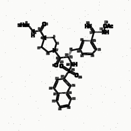 CCCCCCNC(=O)N1CCN(C(=O)[C@H](Cc2cccc(C(=N)NOC(C)=O)c2)NS(=O)(=O)c2ccc3ccccc3c2)CC1